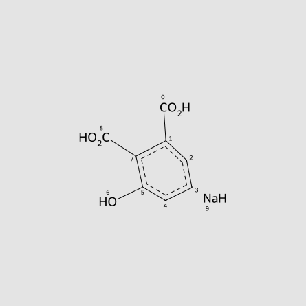 O=C(O)c1cccc(O)c1C(=O)O.[NaH]